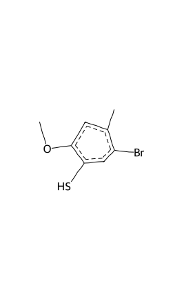 COc1cc(C)c(Br)cc1S